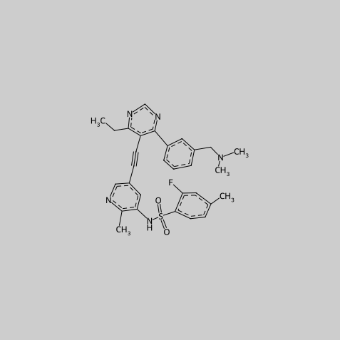 CCc1ncnc(-c2cccc(CN(C)C)c2)c1C#Cc1cnc(C)c(NS(=O)(=O)c2ccc(C)cc2F)c1